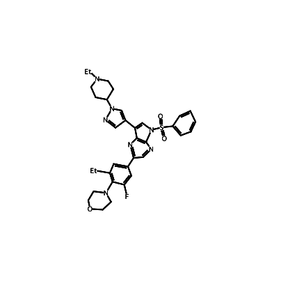 CCc1cc(-c2cnc3c(n2)c(-c2cnn(C4CCN(CC)CC4)c2)cn3S(=O)(=O)c2ccccc2)cc(F)c1N1CCOCC1